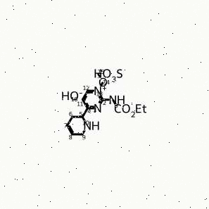 CCOC(=O)Nc1nc(C2CC=CCN2)cc[n+]1OS(=O)(=O)O.[OH-]